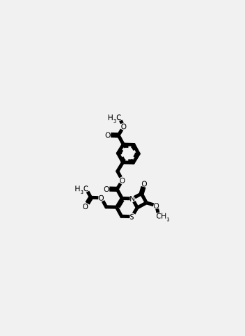 COC(=O)c1cccc(COC(=O)C2=C(COC(C)=O)CSC3C(OC)C(=O)N23)c1